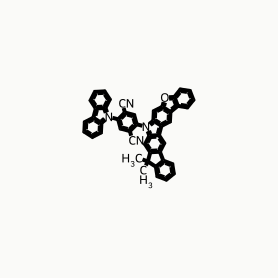 CC1(C)c2ccccc2-c2cc3c4cc5c(cc4n(-c4cc(C#N)c(-n6c7ccccc7c7ccccc76)cc4C#N)c3cc21)oc1ccccc15